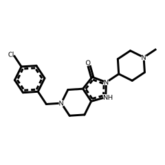 CN1CCC(n2[nH]c3c(c2=O)CN(Cc2ccc(Cl)cc2)CC3)CC1